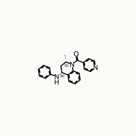 C[C@H]1C[C@@H](Nc2ccccc2)c2ccccc2N1C(=O)c1ccncc1